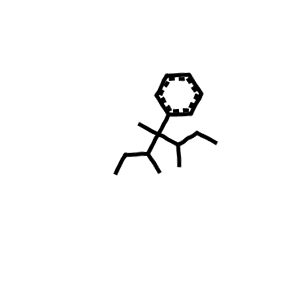 CCC(C)C(C)(c1ccccc1)C(C)CC